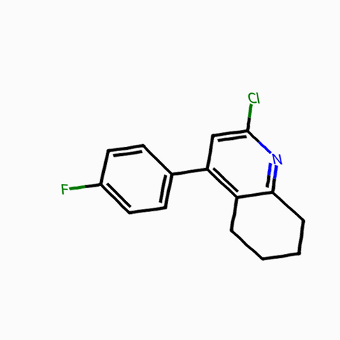 Fc1ccc(-c2cc(Cl)nc3c2CCCC3)cc1